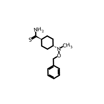 CN(OCc1ccccc1)[C@H]1CC[C@H](C(N)=S)CC1